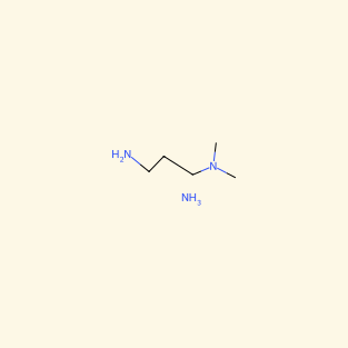 CN(C)CCCN.N